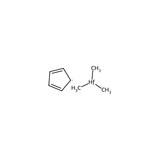 [CH3][Hf]([CH3])[CH3].[CH]1C=CC=C1